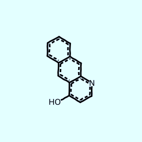 Oc1ccnc2cc3ccccc3cc12